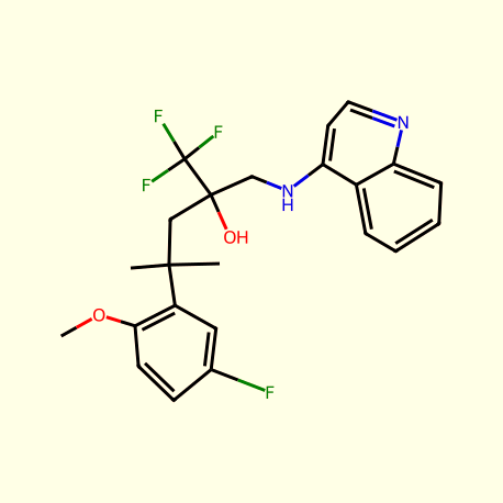 COc1ccc(F)cc1C(C)(C)CC(O)(CNc1ccnc2ccccc12)C(F)(F)F